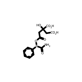 NC(=O)N(OC(=O)CC(O)(CC(=O)O)C(=O)O)c1ccccc1